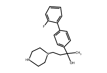 CC(O)(CCN1CCNCC1)c1ccc(-c2ccccc2F)cc1